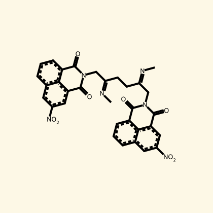 CN=C(CCC(CN1C(=O)c2cccc3cc([N+](=O)[O-])cc(c23)C1=O)=NC)CN1C(=O)c2cccc3cc([N+](=O)[O-])cc(c23)C1=O